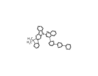 CC1(C)c2ccccc2-c2cc3c(cc21)c1ccccc1n3-c1cc(-c2cccc(-c3ccc(-c4ccccc4)cc3)c2)c2ccccc2n1